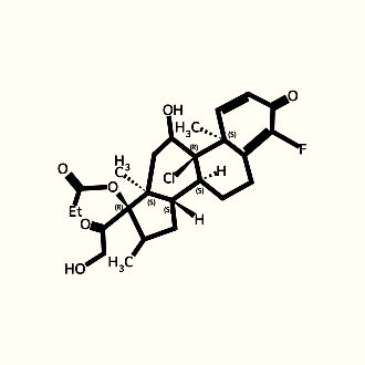 CCC(=O)O[C@]1(C(=O)CO)C(C)C[C@H]2[C@@H]3CCC4=C(F)C(=O)C=C[C@]4(C)[C@@]3(Cl)C(O)C[C@@]21C